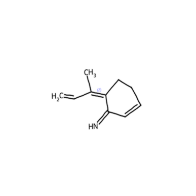 C=C/C(C)=C1/CCC=CC1=N